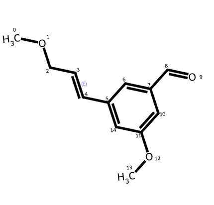 COC/C=C/c1cc(C=O)cc(OC)c1